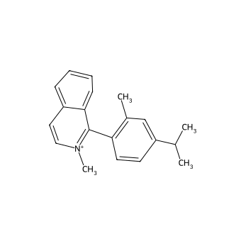 Cc1cc(C(C)C)ccc1-c1c2ccccc2cc[n+]1C